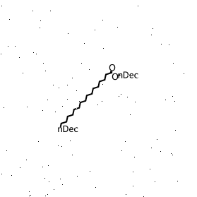 CCCCCCCCCCCCCCCCCCCCCCCCCC(=O)OCCCCCCCCCC